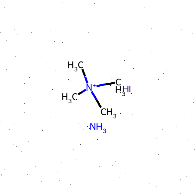 C[N+](C)(C)C.I.N